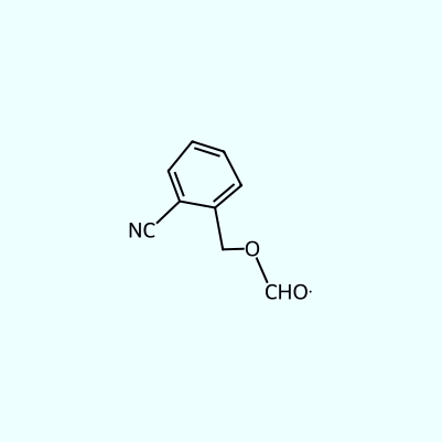 N#Cc1ccccc1CO[C]=O